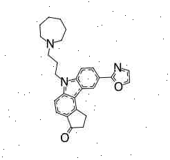 O=C1CCc2c1ccc1c2c2cc(-c3ncco3)ccc2n1CCCN1CCCCCC1